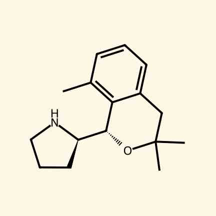 Cc1cccc2c1[C@@H]([C@H]1CCCN1)OC(C)(C)C2